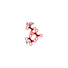 O=C([O-])C(=O)[O-].O=C([O-])C(=O)[O-].O=C([O-])C(=O)[O-].[Eu+3].[Y+3]